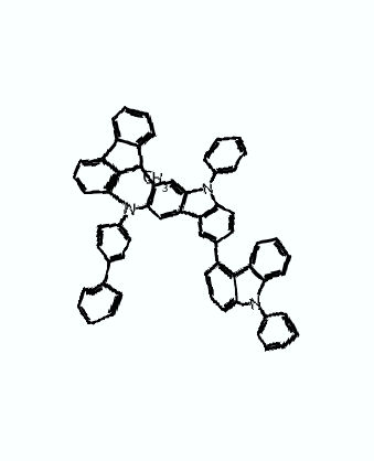 CC12c3ccccc3-c3cccc(c31)N(c1ccc(-c3ccccc3)cc1)c1cc3c4cc(-c5cccc6c5c5ccccc5n6-c5ccccc5)ccc4n(-c4ccccc4)c3cc12